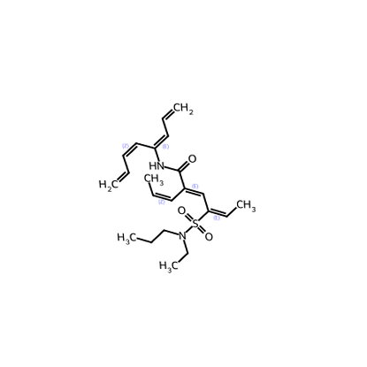 C=C/C=C\C(=C/C=C)NC(=O)C(/C=C\C)=C/C(=C\C)S(=O)(=O)N(CC)CCC